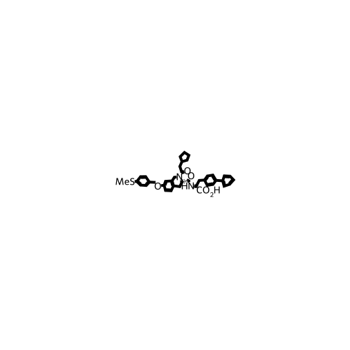 CSc1ccc(COc2ccc3c(c2)CN(C(=O)CC2CCCC2)[C@H](C(=O)N[C@@H](Cc2ccc(-c4ccccc4)cc2)C(=O)O)C3)cc1